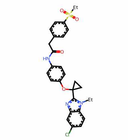 CCn1c(C2(Oc3ccc(NC(=O)Cc4ccc(S(=O)(=O)CC)cc4)cc3)CC2)nc2cc(Cl)ccc21